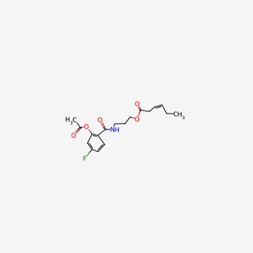 CC/C=C\CC(=O)OCCCNC(=O)c1ccc(F)cc1OC(C)=O